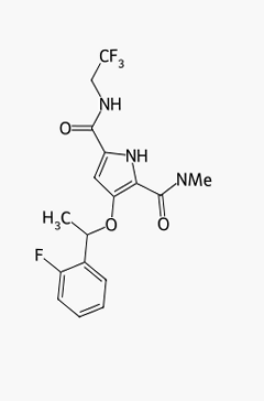 CNC(=O)c1[nH]c(C(=O)NCC(F)(F)F)cc1OC(C)c1ccccc1F